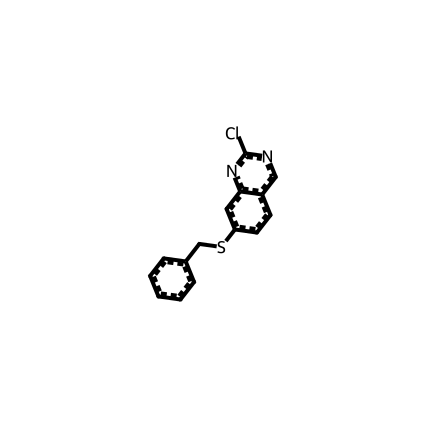 Clc1ncc2ccc(SCc3ccccc3)cc2n1